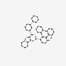 c1ccc(-c2cccc(-c3nc(-c4ccc5sc6cccc7c8ccccc8c4c5c67)nc4c3oc3ccccc34)c2)cc1